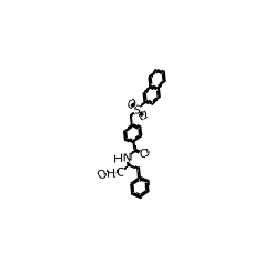 O=CC(Cc1ccccc1)NC(=O)c1ccc(CS(=O)(=O)c2ccc3ccccc3c2)cc1